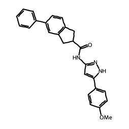 COc1ccc(-c2cc(NC(=O)C3Cc4ccc(-c5ccccc5)cc4C3)n[nH]2)cc1